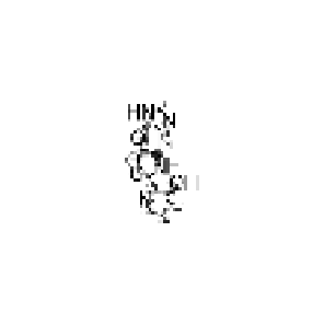 O=C(N[C@@H](Cc1c[nH]cn1)C(=O)O)c1ncccc1O